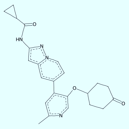 Cc1cc(-c2ccn3nc(NC(=O)C4CC4)cc3c2)c(OC2CCC(=O)CC2)cn1